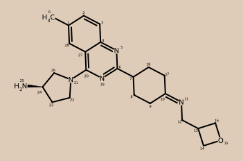 Cc1ccc2nc(C3CCC(=NCC4COC4)CC3)nc(N3CC[C@@H](N)C3)c2c1